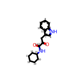 O=C(Cc1c[nH]c2ccccc12)C(=O)NC1CCCCC1